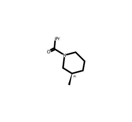 CC(C)C(=O)N1CCC[C@@H](C)C1